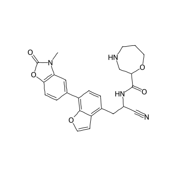 Cn1c(=O)oc2ccc(-c3ccc(CC(C#N)NC(=O)C4CNCCCO4)c4ccoc34)cc21